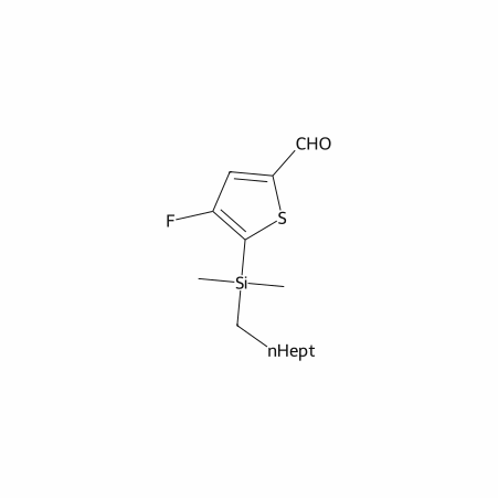 CCCCCCCC[Si](C)(C)c1sc(C=O)cc1F